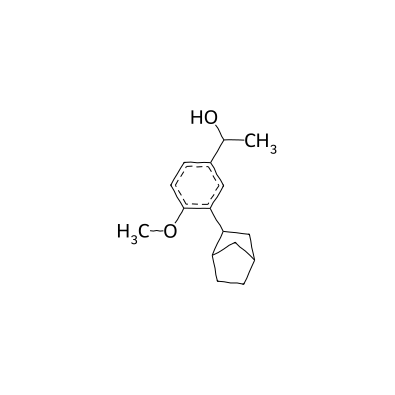 COc1ccc(C(C)O)cc1C1CC2CCC1C2